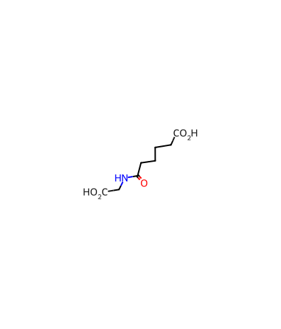 O=C(O)CCCCC(=O)NCC(=O)O